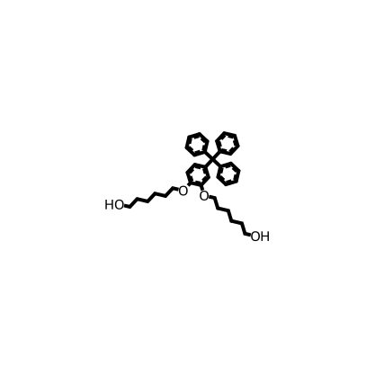 OCCCCCCOc1ccc(C(c2ccccc2)(c2ccccc2)c2ccccc2)cc1OCCCCCCO